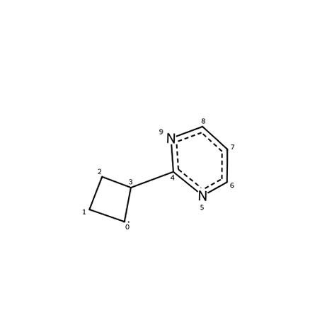 [CH]1CCC1c1ncccn1